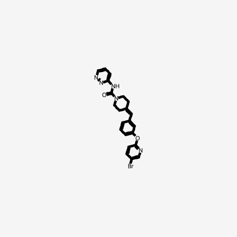 O=C(Nc1cccnn1)N1CCC(=Cc2cccc(Oc3ccc(Br)cn3)c2)CC1